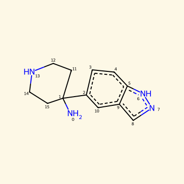 NC1(c2ccc3[nH]ncc3c2)CCNCC1